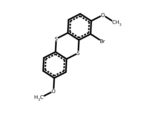 COc1ccc2c(c1)Sc1c(ccc(OC)c1Br)S2